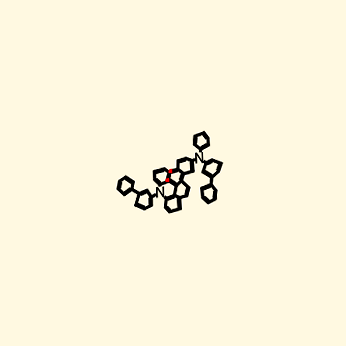 c1ccc(-c2cccc(N(c3ccccc3)c3ccc4ccc5c(ccc6cccc(N(c7ccccc7)c7cccc(-c8ccccc8)c7)c65)c4c3)c2)cc1